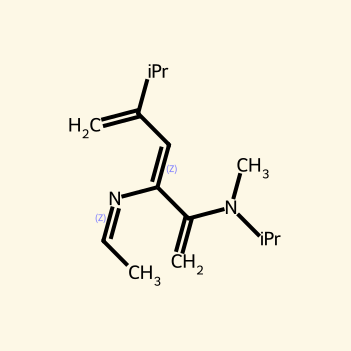 C=C(/C=C(\N=C/C)C(=C)N(C)C(C)C)C(C)C